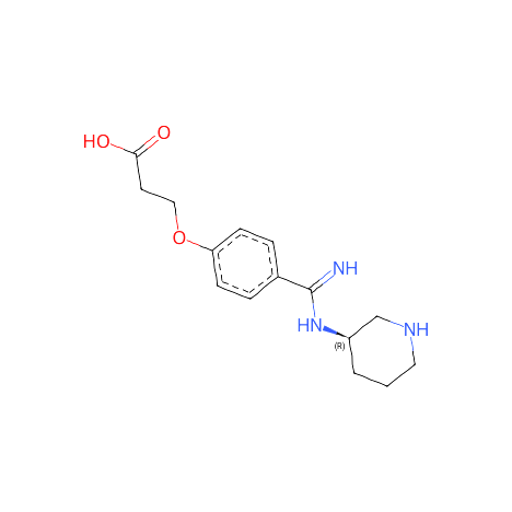 N=C(N[C@@H]1CCCNC1)c1ccc(OCCC(=O)O)cc1